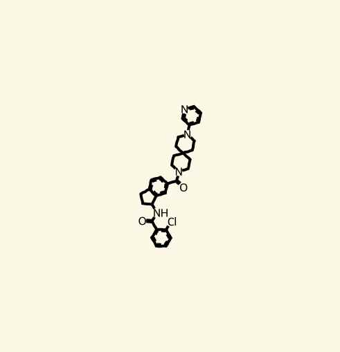 O=C(NC1CCc2ccc(C(=O)N3CCC4(CC3)CCN(c3cccnc3)CC4)cc21)c1ccccc1Cl